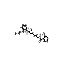 COc1ccccc1C(=O)NCCCCCC(=O)Nc1ccccc1NN=N